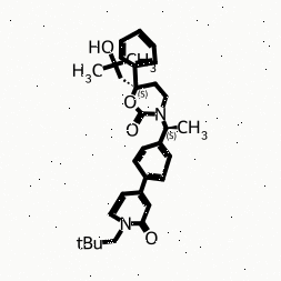 C[C@@H](c1ccc(-c2ccn(CC(C)(C)C)c(=O)c2)cc1)N1CC[C@](CC(C)(C)O)(c2ccccc2)OC1=O